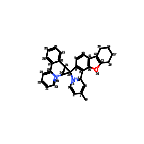 Cc1cc[n+]2c(c1)-c1c(ccc3c4c(oc13)CCCC4)C21C2c3ccccc3-c3cccc[n+]3C21